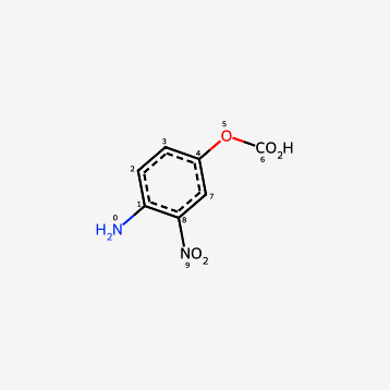 Nc1ccc(OC(=O)O)cc1[N+](=O)[O-]